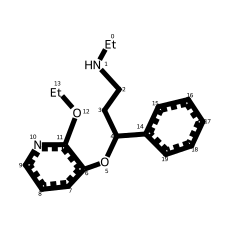 CCNCCC(Oc1cccnc1OCC)c1ccccc1